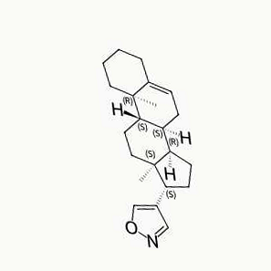 C[C@]12CC[C@H]3[C@@H](CC=C4CCCC[C@@]43C)[C@H]1CC[C@@H]2c1cnoc1